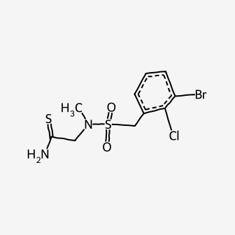 CN(CC(N)=S)S(=O)(=O)Cc1cccc(Br)c1Cl